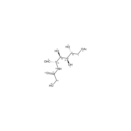 CC(=O)OC[C@@H](O)[C@@H](O)[C@H](O)[C@@H](C=O)NC(=O)CO